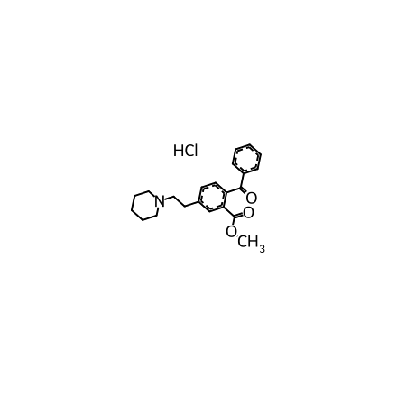 COC(=O)c1cc(CCN2CCCCC2)ccc1C(=O)c1ccccc1.Cl